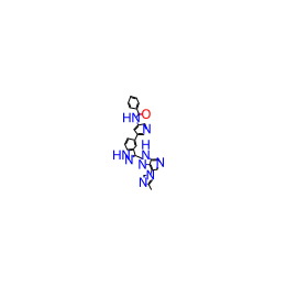 Cc1cn(-c2cncc3[nH]c(-c4n[nH]c5ccc(-c6cncc(NC(=O)c7ccccc7)c6)cc45)nc23)cn1